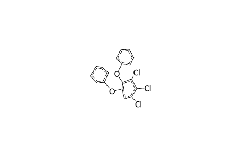 Clc1cc(Oc2ccccc2)c(Oc2ccccc2)c(Cl)c1Cl